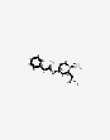 CCC1C[C@@H](OC(=O)Cc2ccccc2)CCN1C